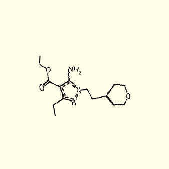 CCOC(=O)c1c(CC)nn(CCC2CCOCC2)c1N